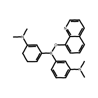 CN(C)C1=CC(B(Oc2cccc3cccnc23)c2cccc(N(C)C)c2)=CCC1